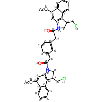 CC(=O)Oc1cc2c(c3ccccc13)C(CCl)CN2C(=O)Cc1cccc(CC(=O)N2CC(CCl)c3c2cc(OC(C)=O)c2ccccc32)c1